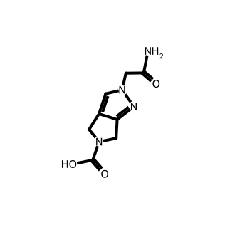 NC(=O)Cn1cc2c(n1)CN(C(=O)O)C2